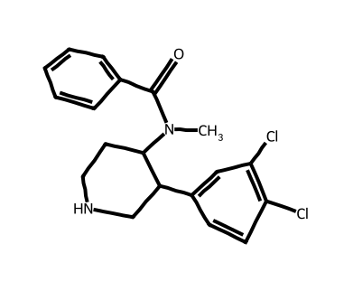 CN(C(=O)c1ccccc1)C1CCNCC1c1ccc(Cl)c(Cl)c1